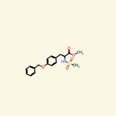 COC(=O)C(Cc1ccc(OCc2ccccc2)cc1)NS(C)(=O)=O